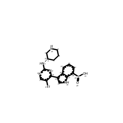 CCc1cnc(N[C@H]2CCCNC2)nc1-c1c[nH]c2c(S(=O)O)cccc12